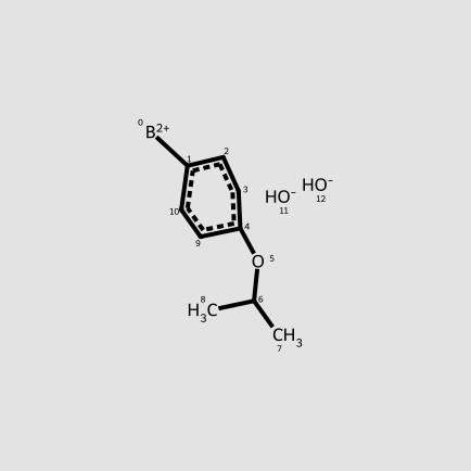 [B+2]c1ccc(OC(C)C)cc1.[OH-].[OH-]